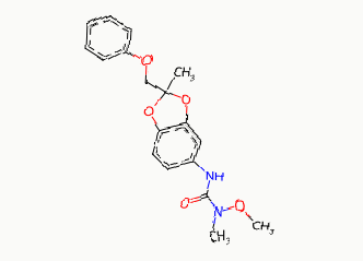 CON(C)C(=O)Nc1ccc2c(c1)OC(C)(COc1ccccc1)O2